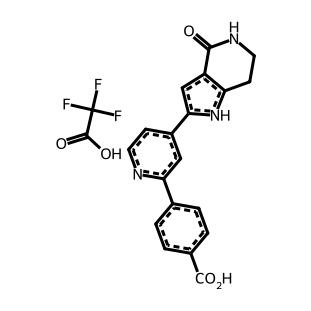 O=C(O)C(F)(F)F.O=C(O)c1ccc(-c2cc(-c3cc4c([nH]3)CCNC4=O)ccn2)cc1